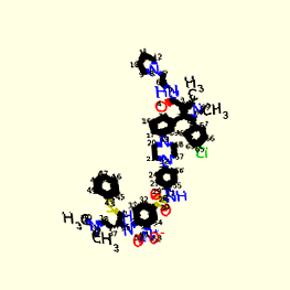 Cc1c(C(=O)NCCN2CCCC2)c(-c2cccc(N3CCN(c4ccc(NS(=O)(=O)c5ccc(N[C@H](CCN(C)C)CSc6ccccc6)c([N+](=O)[O-])c5)cc4)CC3)c2)c(-c2ccc(Cl)cc2)n1C